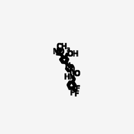 Cc1ncc(-c2ccc(N3CCN(C(=O)NCc4cccc(C(F)(F)F)c4)CC3)cc2CO)o1